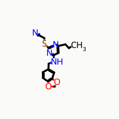 CCCc1cc(NCc2ccc3c(c2)OCO3)nc(SCC#N)n1